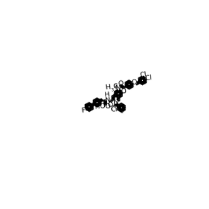 CC[C@@H](c1ccccc1)N1Cc2cc3c(cc2C[C@H]1C(=O)N[C@@H](Cc1ccc(-c2ccc(F)cc2)cc1)C(=O)O)N(C)C(=O)[C@H](c1ccc(OCc2ccc(Cl)c(Cl)c2)cc1)O3